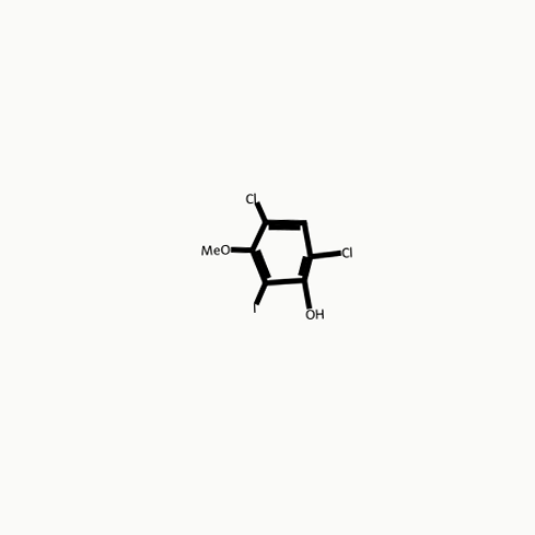 COc1c(Cl)cc(Cl)c(O)c1I